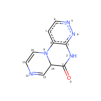 O=C1Nc2nnccc2N2C=CN=CC12